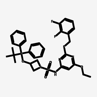 CCOc1cc(NS(=O)(=O)N2CC(O[Si](c3ccccc3)(c3ccccc3)C(C)(C)C)C2)nc(SCc2cccc(F)c2F)n1